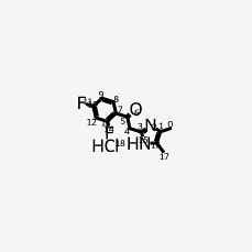 Cc1nc(CC(=O)c2ccc(F)cc2F)[nH]c1C.Cl